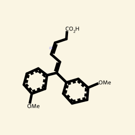 COc1cccc(C(=C/C=C\CC(=O)O)c2cccc(OC)c2)c1